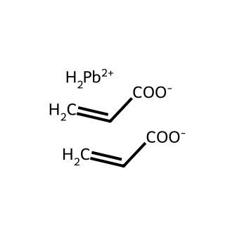 C=CC(=O)[O-].C=CC(=O)[O-].[PbH2+2]